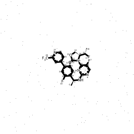 C[C@H](Nc1ncc(F)c(N2C(=O)OC[C@@H]2[C@H](C)F)n1)c1cc(F)c(-c2ccnc(C(F)(F)F)c2)cc1F